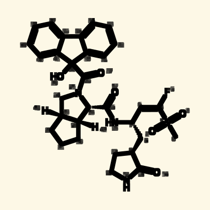 CS(=O)(=O)/C(F)=C\[C@H](C[C@@H]1CCNC1=O)NC(=O)[C@@H]1[C@@H]2CCC[C@@H]2CN1C(=O)C1(O)c2ccccc2-c2ccccc21